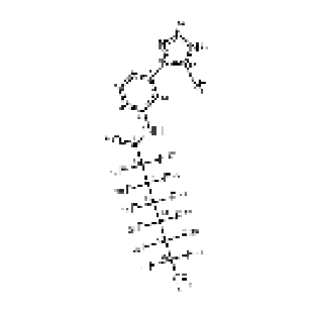 O=C(Nc1cccc(-n2nnnc2S)c1)C(F)(F)C(F)(F)C(F)(F)C(F)(F)C(F)(F)C(F)(F)C(F)(F)F